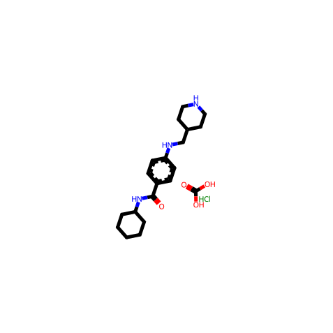 Cl.O=C(NC1CCCCC1)c1ccc(NCC2CCNCC2)cc1.O=C(O)O